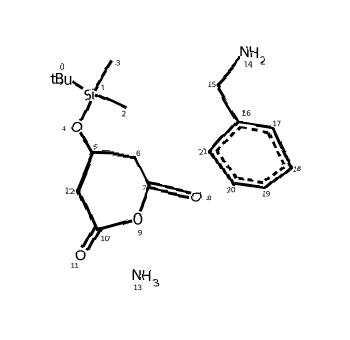 CC(C)(C)[Si](C)(C)OC1CC(=O)OC(=O)C1.N.NCc1ccccc1